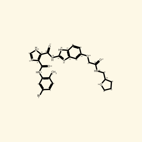 Cc1ccc(Br)cc1NC(=O)c1nc[nH]c1C(=O)Nc1nc2cc(OCC(=O)NCC3CCCO3)ccc2[nH]1